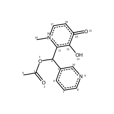 CC(=O)OC(c1cccnc1)c1c(O)c(=O)ccn1C